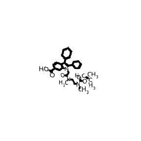 CN(CCN(C)C(=O)OC(C)(C)C)C(=O)Cn1c(-c2ccccc2)c(C2CCCCC2)c2ccc(C(=O)O)cc21